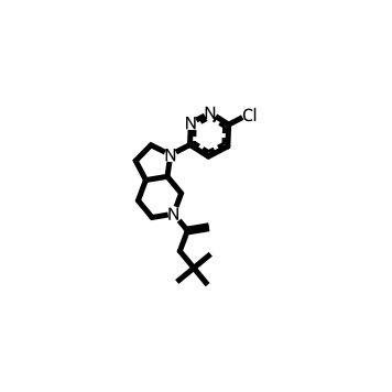 C=C(CC(C)(C)C)N1CCC2CCN(c3ccc(Cl)nn3)C2C1